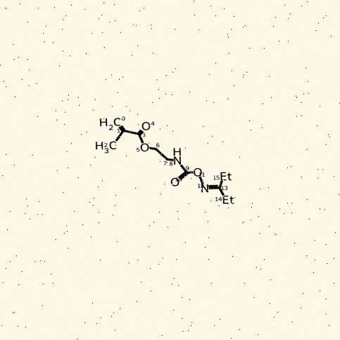 C=C(C)C(=O)OCCNC(=O)ON=C(CC)CC